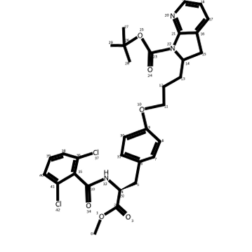 COC(=O)[C@H](Cc1ccc(OCCCC2Cc3cccnc3N2C(=O)OC(C)(C)C)cc1)NC(=O)c1c(Cl)cccc1Cl